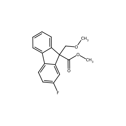 COCC1(C(=O)OC)c2ccccc2-c2ccc(F)cc21